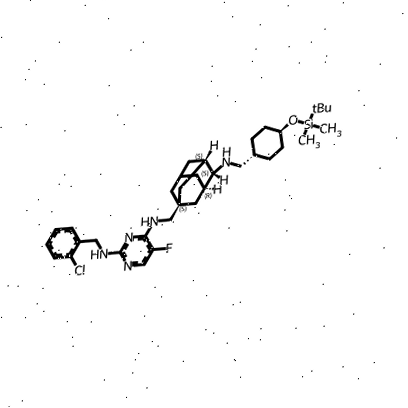 CC(C)(C)[Si](C)(C)O[C@H]1CC[C@H](CN[C@@H]2[C@@H]3CC4C[C@H]2C[C@@](CNc2nc(NCc5ccccc5Cl)ncc2F)(C4)C3)CC1